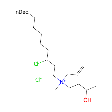 C=CC[N+](C)(CCC(C)O)CCC(Cl)CCCCCCCCCCCCCCC.[Cl-]